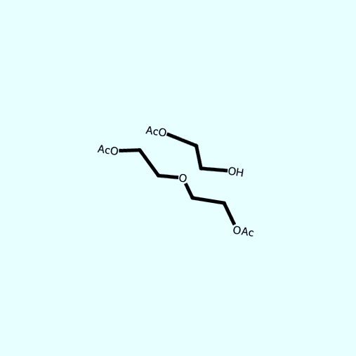 CC(=O)OCCO.CC(=O)OCCOCCOC(C)=O